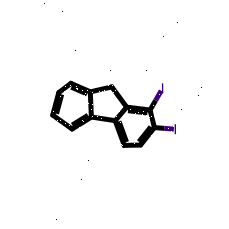 Ic1ccc2c(c1I)Cc1ccccc1-2